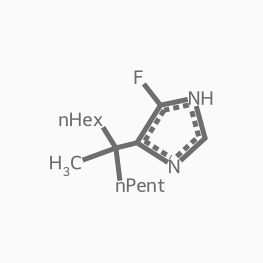 CCCCCCC(C)(CCCCC)c1nc[nH]c1F